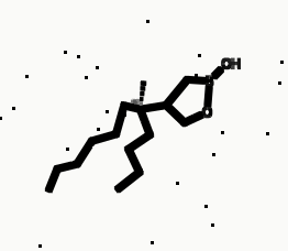 CCCCCC[C@](C)(CCCC)C1COB(O)C1